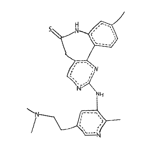 Cc1ccc2c(c1)NC(=S)Cc1cnc(Nc3cc(CCN(C)C)cnc3C)nc1-2